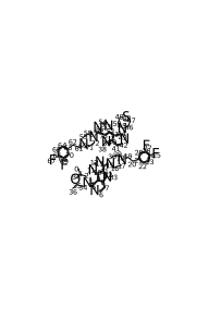 CC1CN(c2nccc3c2c2ncnc(N4CCN(CCc5ccc(F)c(F)c5)CC4)c2n3C)CC(C)O1.Cn1c2ccnc(N3CCSCC3)c2c2ncnc(N3CCN(CCc4ccc(F)c(F)c4)CC3)c21